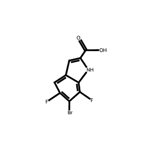 O=C(O)c1cc2cc(F)c(Br)c(F)c2[nH]1